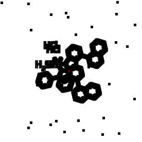 Cl.Cl.[CH3][Zr]([CH3])(=[SiH2])([CH]1C(c2ccccc2)=Cc2c(-c3cccc4ccccc34)cccc21)[CH]1C(c2ccccc2)=Cc2c(-c3cccc4ccccc34)cccc21